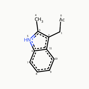 CC(=O)Cc1c(C)[nH]c2ccccc12